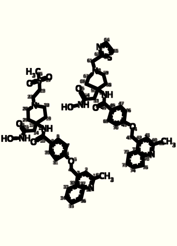 Cc1cc(COc2ccc(C(=O)NC3(CC(=O)NO)CCN(CCS(C)(=O)=O)CC3)cc2)c2ccccc2n1.Cc1cc(COc2ccc(C(=O)NC3(CC(=O)NO)CCN(Cc4nccs4)CC3)cc2)c2ccccc2n1